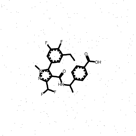 CCc1cc(-c2c(C(=O)NC(C)c3ccc(C(=O)O)cc3)c(C(F)F)nn2C)cc(F)c1F